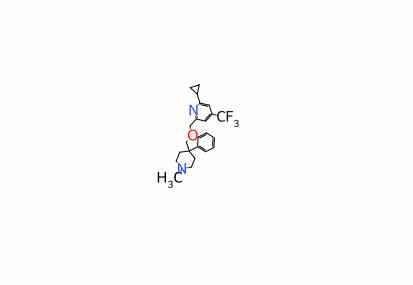 CN1CCC(COCc2cc(C(F)(F)F)cc(C3CC3)n2)(c2ccccc2)CC1